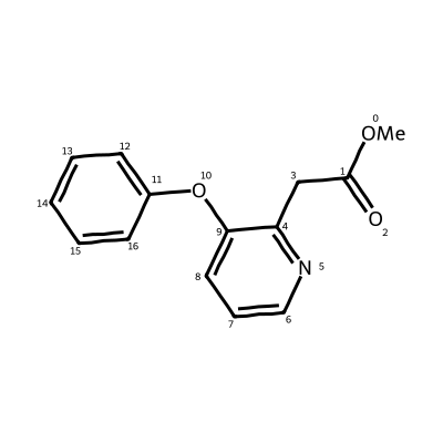 COC(=O)Cc1ncccc1Oc1ccccc1